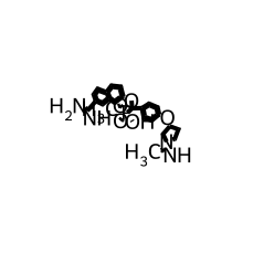 COP(=O)(O)C(Oc1ccc2ccc(C(=N)N)cc2c1)c1ccc(OC2CCN(C(C)=N)C2)cc1